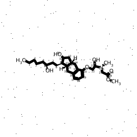 CCCCC[C@H](O)CC[C@H]1C(O)C[C@@H]2Cc3c(cccc3OCC(O)N(C)CC(=O)OC)C[C@@H]21